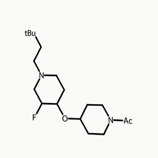 CC(=O)N1CCC(OC2CCN(CCC(C)(C)C)CC2F)CC1